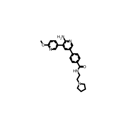 COc1ccc(-c2cc(-c3ccc(C(=O)NCCN4CCCC4)cc3)cnc2N)cn1